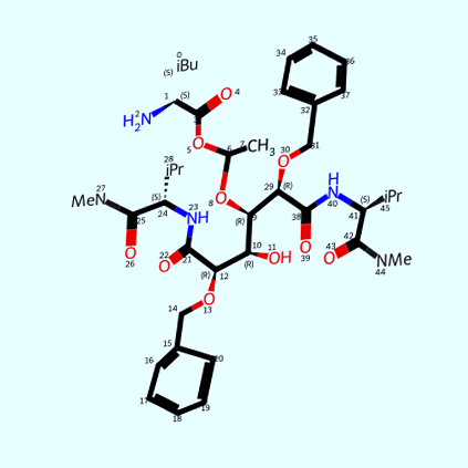 CC[C@H](C)[C@H](N)C(=O)OC(C)O[C@H]([C@@H](O)[C@@H](OCc1ccccc1)C(=O)N[C@H](C(=O)NC)C(C)C)[C@@H](OCc1ccccc1)C(=O)N[C@H](C(=O)NC)C(C)C